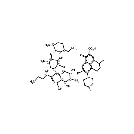 CC1COc2c(N3CCN(C)CC3)c(F)cc3c(=O)c(C(=O)O)cn1c23.NCC[C@H](O)C(=O)N[C@@H]1C[C@H](N)[C@@H](O[C@H]2O[C@H](CN)CC[C@H]2N)[C@H](O)[C@H]1O[C@H]1O[C@H](CO)[C@@H](O)[C@H](N)[C@H]1O